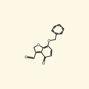 O=CC1=C2C(=O)C=CC(OCc3ccccc3)=C2OC1